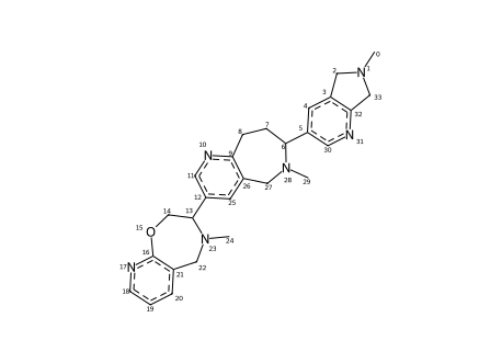 CN1Cc2cc(C3CCc4ncc(C5COc6ncccc6CN5C)cc4CN3C)cnc2C1